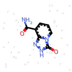 NC(=O)c1cccn2c(=O)[nH]nc12